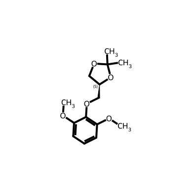 COc1cccc(OC)c1OC[C@H]1COC(C)(C)O1